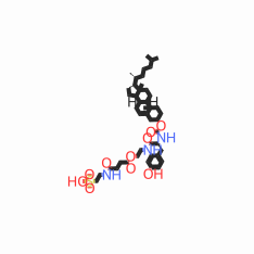 CC(C)CCC[C@@H](C)[C@H]1CC[C@H]2C3CC=C4C[C@@H](OC(=O)N[C@@H](Cc5ccc(O)cc5)C(=O)NCCOC(=O)CCC(=O)NCCS(=O)(=O)O)CCC4(C)[C@H]3CCC12C